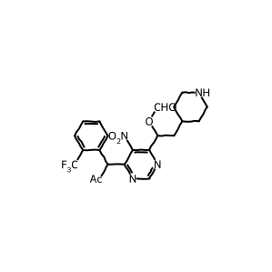 CC(=O)C(c1ccccc1C(F)(F)F)c1ncnc(C(CC2CCNCC2)OC=O)c1[N+](=O)[O-]